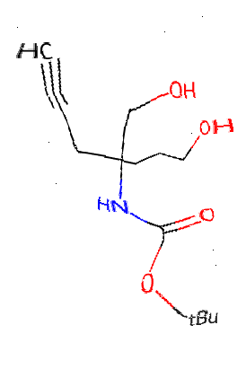 C#CCC(CO)(CO)NC(=O)OC(C)(C)C